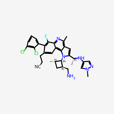 Cc1nc2c(F)c(-c3cccc(Cl)c3Cl)c(CCC#N)cc2c2c1cc([C@@H](C)Nc1cnn(C)c1)n2[C@H]1[C@@H](CN)C[C@@H]1C